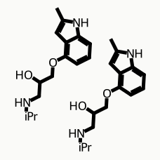 Cc1cc2c(OCC(O)CNC(C)C)cccc2[nH]1.Cc1cc2c(OCC(O)CNC(C)C)cccc2[nH]1